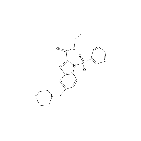 CCOC(=O)c1cc2cc(CN3CCOCC3)ccc2n1S(=O)(=O)c1ccccc1